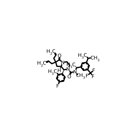 C=CCC1(CC=C)C[C@H]2[C@H](c3ccc(F)cc3C)N(C(=O)N(C)[C@H](C)c3cc(C(C)C)cc(C(F)(F)F)c3)CCN2C1=O